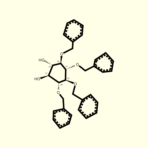 O[C@H]1[C@H](O)[C@@H](OCc2ccccc2)[C@H](OCc2ccccc2)[C@@H](OCc2ccccc2)[C@@H]1OCc1ccccc1